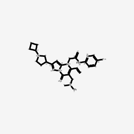 C=Cc1c(CN(C)C(C)C)c(=O)n2nc(C3CCN(C4CCC4)C3)cc2n1CC(=C)Nc1ccc(F)cn1